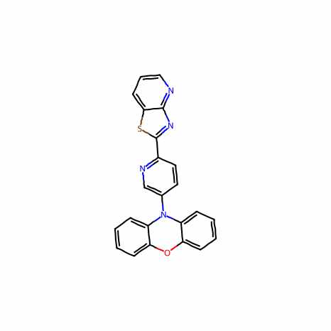 c1ccc2c(c1)Oc1ccccc1N2c1ccc(-c2nc3ncccc3s2)nc1